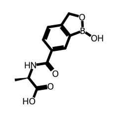 C[C@@H](NC(=O)c1ccc2c(c1)B(O)OC2)C(=O)O